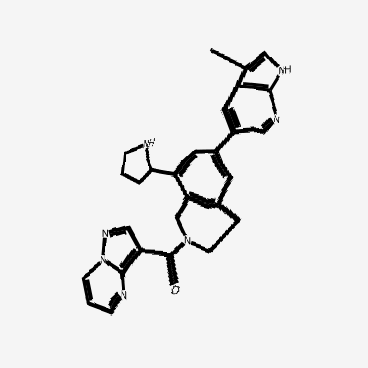 Cc1c[nH]c2ncc(-c3cc4c(c(C5CCCN5)c3)CN(C(=O)c3cnn5cccnc35)CC4)cc12